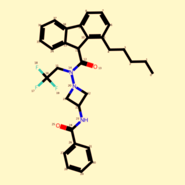 CCCCCc1cccc2c1C(C(=O)N(CC(F)(F)F)N1CC(NC(=O)c3ccccc3)C1)c1ccccc1-2